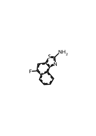 Nc1nc2c(cc(F)c3ccccc32)s1